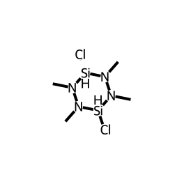 CN1N(C)[SiH](Cl)N(C)N(C)[SiH]1Cl